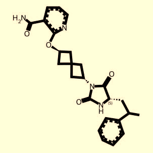 CC(C[C@@H]1NC(=O)N([C@H]2CC3(C[C@H](Oc4ncccc4C(N)=O)C3)C2)C1=O)c1ccccc1